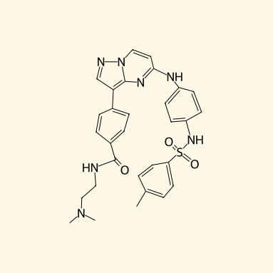 Cc1ccc(S(=O)(=O)Nc2ccc(Nc3ccn4ncc(-c5ccc(C(=O)NCCN(C)C)cc5)c4n3)cc2)cc1